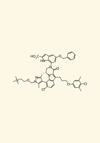 Cc1cc(OCCCc2c3n(c4c(-c5c(C)nn(COCC[Si](C)(C)C)c5C)c(Cl)ccc24)[C@H](C)CN(c2cc(OCc4ccccc4)cc4cc(C(=O)O)[nH]c24)C3=O)cc(C)c1Cl